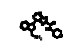 NCC1CN(c2ncnc3sc(C(=O)NC4CCOCC4)nc23)c2ccccc21